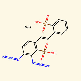 [N-]=[N+]=Nc1ccc(C=Cc2ccccc2S(=O)(=O)O)c(S(=O)(=O)O)c1N=[N+]=[N-].[NaH]